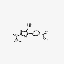 Cc1sc([C@H](C)N(C)C)nc1-c1ccc(C(=O)O)cc1.[LiH]